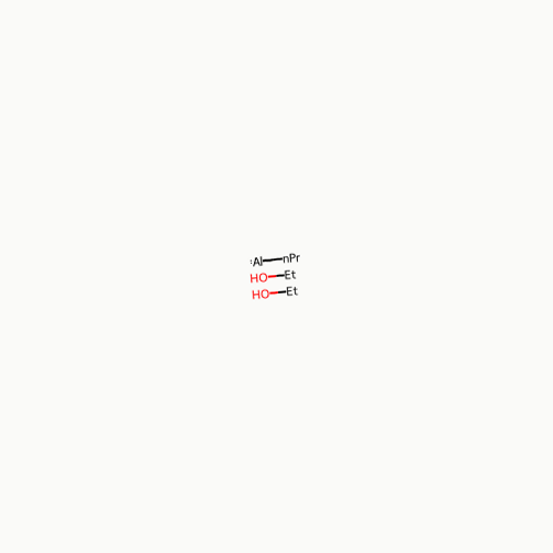 CCO.CCO.CC[CH2][Al]